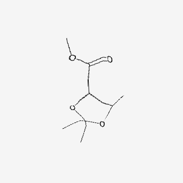 COC(=O)C1OC(C)(C)OC1C